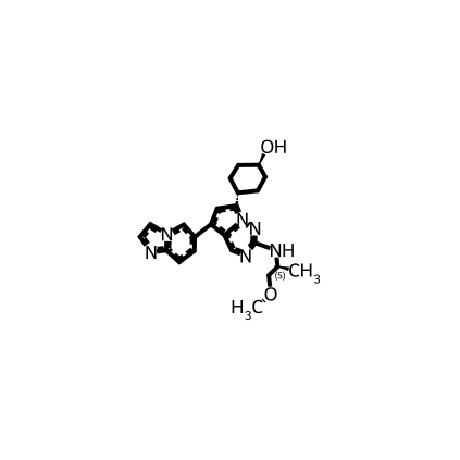 COC[C@H](C)Nc1ncc2c(-c3ccc4nccn4c3)cc([C@H]3CC[C@H](O)CC3)n2n1